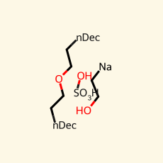 CCCCCCCCCCCCOCCCCCCCCCCCC.O=S(=O)(O)O.OC[CH2][Na]